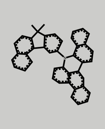 CC1(C)c2ccc(N(c3ccccc3)c3c(-c4ccc5ccccc5c4)ccc4ccccc34)cc2-c2c1ccc1ccccc21